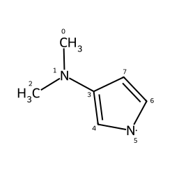 CN(C)C1=C[N]C=C1